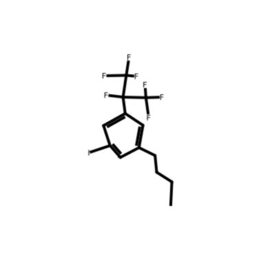 CCCCc1[c]c(I)cc(C(F)(C(F)(F)F)C(F)(F)F)c1